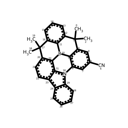 CC1(C)c2cc(C#N)cc3c2B2c4c1cccc4C(C)(C)c1ccc4c5ccccc5n-3c4c12